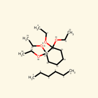 CCCCCC.CCOC1(OCC)CCCC[Si]1(OCC)OCC